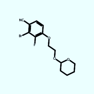 N#Cc1ccc(OCCOC2CCCCO2)c(F)c1Br